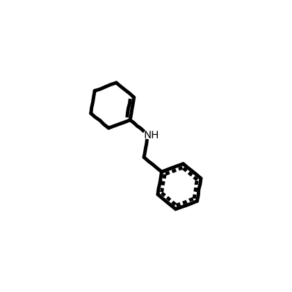 C1=C(NCc2ccccc2)CCCC1